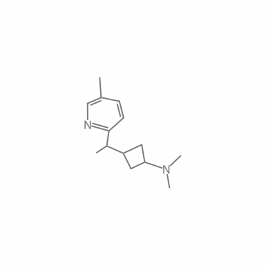 Cc1ccc(C(C)C2CC(N(C)C)C2)nc1